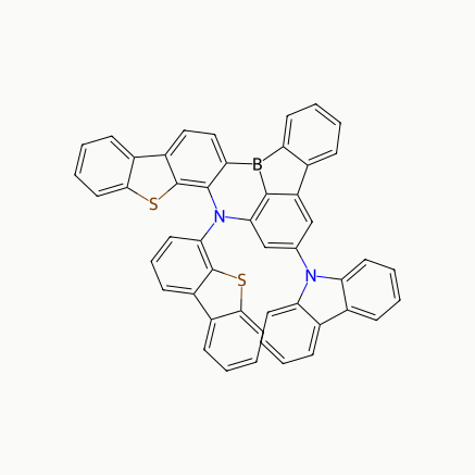 c1ccc2c(c1)B1c3ccc4c(sc5ccccc54)c3N(c3cccc4c3sc3ccccc34)c3cc(-n4c5ccccc5c5ccccc54)cc-2c31